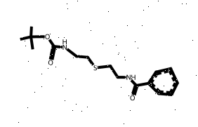 CC(C)(C)OC(=O)NCCSCCNC(=O)c1ccccc1